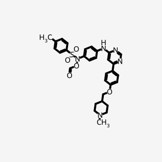 Cc1ccc(S(=O)(=O)N(OC=O)c2ccc(Nc3cc(-c4ccc(OCC5CCN(C)CC5)cc4)ncn3)cc2)cc1